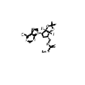 CSC(=S)OC[C@H]1C[C@@H](n2cnc3c(Cl)ncnc32)[C@@H]2OC(C)(C)O[C@H]12